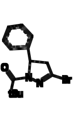 CC(C)(C)C(=O)N1N=C(Br)CC1c1ccccc1